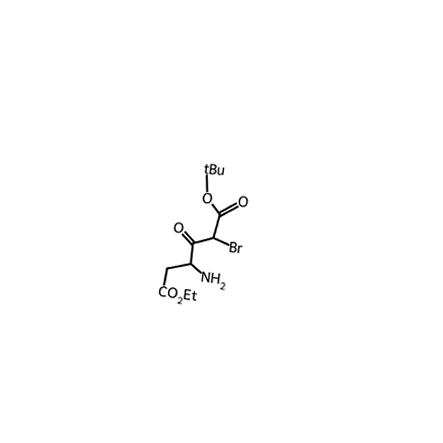 CCOC(=O)CC(N)C(=O)C(Br)C(=O)OC(C)(C)C